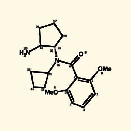 COc1cccc(OC)c1C(=O)N(C1CCC1)[C@H]1CCCC1N